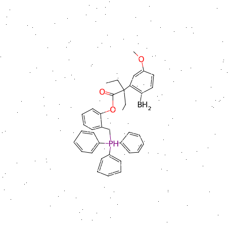 Bc1ccc(OC)cc1C(CC)(CC)C(=O)Oc1ccccc1C[PH](c1ccccc1)(c1ccccc1)c1ccccc1